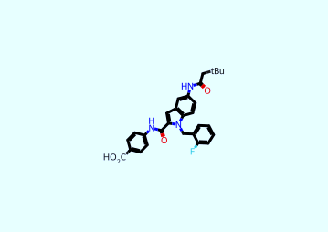 CC(C)(C)CC(=O)Nc1ccc2c(c1)cc(C(=O)Nc1ccc(C(=O)O)cc1)n2Cc1ccccc1F